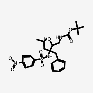 CC(C)CC(Cc1ccccc1)(NS(=O)(=O)c1ccc([N+](=O)[O-])cc1)C(O)CNC(=O)OC(C)(C)C